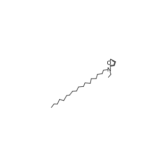 CCCCCCCCCCCCCCCCCCN(CC)c1ccco1